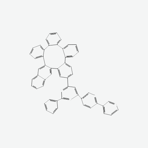 c1ccc(-c2nc(-c3ccc(-c4cccnc4)nc3)cc(-c3ccc4c5ccccc5c5ccccc5c5ccccc5c5cc6ccccc6cc5c4c3)n2)cc1